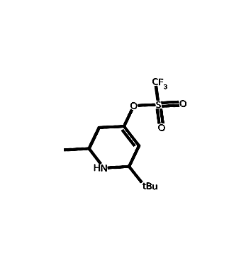 CC1CC(OS(=O)(=O)C(F)(F)F)=CC(C(C)(C)C)N1